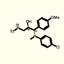 CCNC[C@@H](O)[C@H](c1ccc(OC)cc1)N(C)c1ccc(Cl)cc1